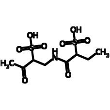 CCC(C(=O)NCC(C(C)=O)S(=O)(=O)O)S(=O)(=O)O